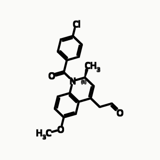 COc1ccc2c(c1)C(CC=O)=C[C@H](C)N2C(=O)c1ccc(Cl)cc1